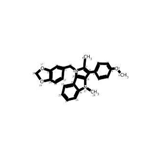 COc1ccc(-c2c(C)n(Cc3ccc4c(c3)OCO4)c3c4ccccc4n(C)c23)cc1